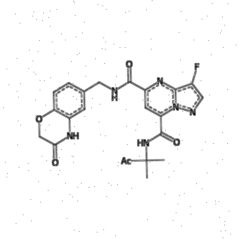 CC(=O)C(C)(C)NC(=O)c1cc(C(=O)NCc2ccc3c(c2)NC(=O)CO3)nc2c(F)cnn12